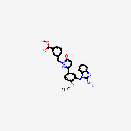 COC(=O)c1cccc(Cn2nc(-c3ccc(OC)c(Cn4c(N)nc5ccccc54)c3)ccc2=O)c1